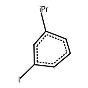 CC(C)c1cc[c]c(I)c1